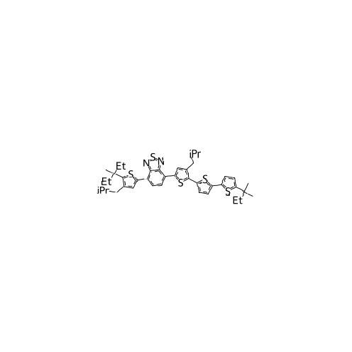 CCC(C)(C)c1ccc(-c2ccc(-c3sc(-c4ccc(-c5cc(CC(C)C)c(C(C)(CC)CC)s5)c5nsnc45)cc3CC(C)C)s2)s1